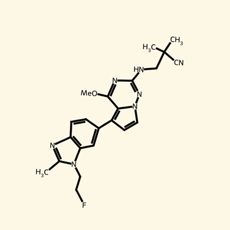 COc1nc(NCC(C)(C)C#N)nn2ccc(-c3ccc4nc(C)n(CCF)c4c3)c12